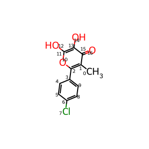 Cc1c(-c2ccc(Cl)cc2)oc(O)c(O)c1=O